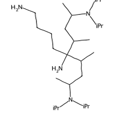 CC(C)N(C(C)C)C(C)CC(C)C(N)(CCCCN)C(C)CC(C)N(C(C)C)C(C)C